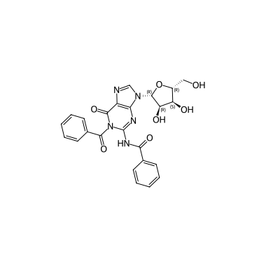 O=C(Nc1nc2c(ncn2[C@@H]2O[C@H](CO)[C@@H](O)[C@H]2O)c(=O)n1C(=O)c1ccccc1)c1ccccc1